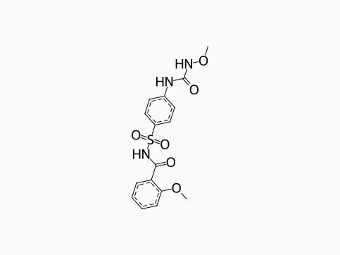 CONC(=O)Nc1ccc(S(=O)(=O)NC(=O)c2ccccc2OC)cc1